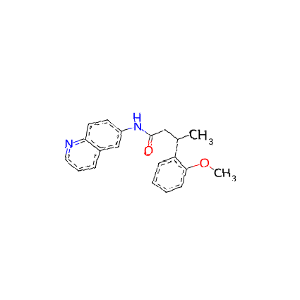 COc1ccccc1C(C)CC(=O)Nc1ccc2ncccc2c1